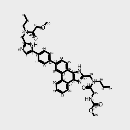 CCCN(Cc1ncc(-c2ccc(-c3ccc4c(c3)c3ccccc3c3nc(CN(CCC)C(=O)CNC(=O)OC)[nH]c43)cc2)[nH]1)C(=O)COC